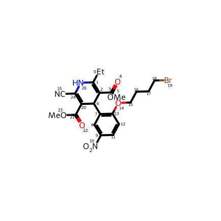 CCC1=C(C(=O)OC)C(c2cc([N+](=O)[O-])ccc2OCCCCBr)C(C(=O)OC)=C(C#N)N1